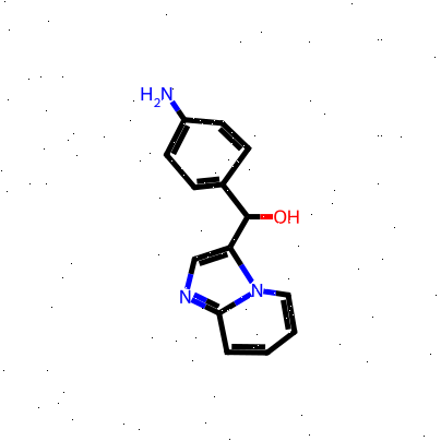 Nc1ccc(C(O)c2cnc3ccccn23)cc1